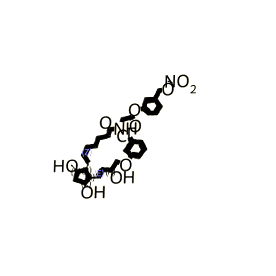 O=C(CCC/C=C\C[C@@H]1[C@@H](/C=C/[C@@H](O)COc2cccc(Cl)c2)[C@H](O)C[C@@H]1O)NCC(=O)Oc1cccc(CO[N+](=O)[O-])c1